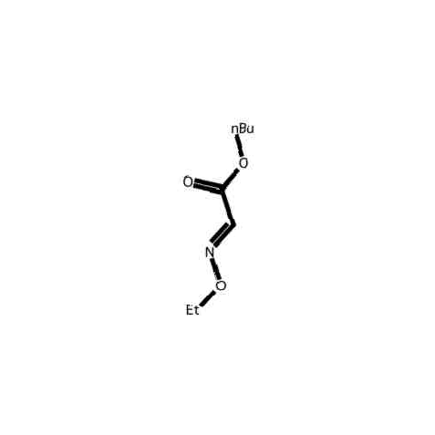 CCCCOC(=O)C=NOCC